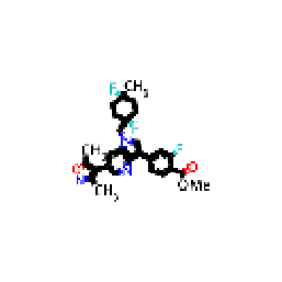 COC(=O)c1ccc(-c2cn(CC3(F)CCC(C)(F)CC3)c3cc(-c4c(C)noc4C)cnc23)cc1F